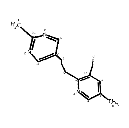 Cc1cnc(CCc2cnc(C)nc2)c(F)c1